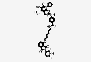 CC(=O)c1c(C)c2cnc(Nc3ccc(C(=O)NCCCCCCOc4cccc5c4C(=O)N(C4CCC(=O)NC4=O)C5=O)cc3)nc2n(C2CCCC2)c1=O